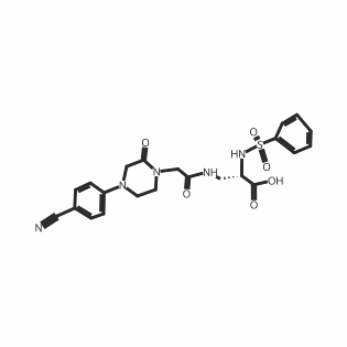 N#Cc1ccc(N2CCN(CC(=O)NC[C@H](NS(=O)(=O)c3ccccc3)C(=O)O)C(=O)C2)cc1